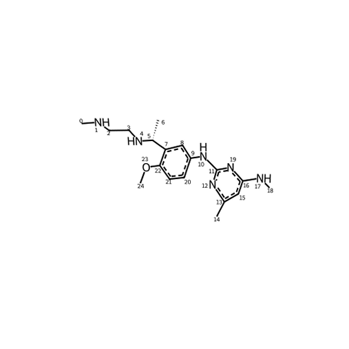 CNCCN[C@H](C)c1cc(Nc2nc(C)cc(NC)n2)ccc1OC